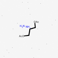 CC(=O)OCCCOC(C)=O.N.N